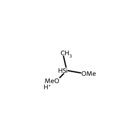 CO[SiH](C)OC.[H+]